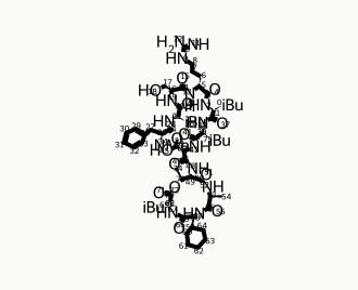 CC[C@@H](C)[C@@H](NC(=O)[C@@H](CCCNC(=N)N)NC(=O)[C@H](CO)NC(=O)[C@@H](NC(=O)[C@@H](Cc1ccccc1)NC)[C@@H](C)CC)C(=O)N[C@H](C(=O)N[C@@H](CO)C(=O)N[C@H]1C(=O)N[C@@H](C)C(=O)N[C@@H](C2CCCCC2)C(=O)N[C@@H]([C@@H](C)CC)C(=O)O[C@H]1C)[C@@H](C)CC